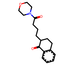 O=C1c2ccccc2CCC1CCCC(=O)N1CCOCC1